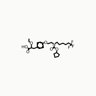 CCOC(Cc1ccc(OCCN(CCCCCC(F)(F)F)C(=O)OC2CCCC2)cc1)C(=O)O